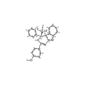 COc1ccc(C2=Nc3nc4ccccc4n3[C@](c3ccccc3)(C(F)(F)F)O2)cc1